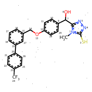 Cn1c(S)nnc1C(O)c1ccc(OCc2cccc(-c3ccc(C(F)(F)F)cc3)c2)cc1